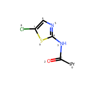 CC(C)C(=O)Nc1ncc(Cl)s1